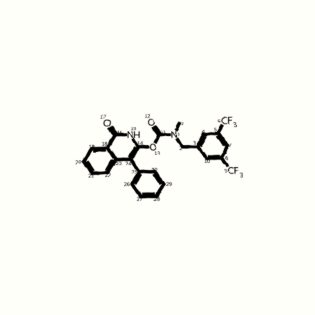 CN(Cc1cc(C(F)(F)F)cc(C(F)(F)F)c1)C(=O)Oc1[nH]c(=O)c2ccccc2c1-c1ccccc1